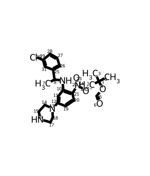 CC(C)(C)OC=O.CC(Nc1cc(N2CCNCC2)ccc1[N+](=O)[O-])c1cccc(Cl)c1